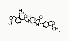 C=C1OCc2cc(-n3nc4n(c3=O)CCN(CC(O)c3ccc5c(c3C)COC5=O)C4)ccc21